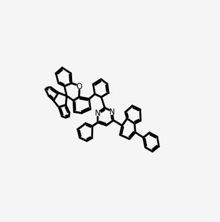 C1=CC(c2nc(-c3ccccc3)cc(-c3ccc(-c4ccccc4)c4ccccc34)n2)C(c2cccc3c2Oc2ccccc2C32c3ccccc3-c3ccccc32)C=C1